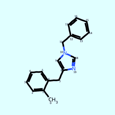 Cc1ccccc1Cc1cn(Cc2ccccc2)cn1